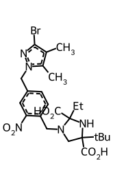 CCC1(C(=O)O)NC(C(=O)O)(C(C)(C)C)CN1Cc1ccc(Cn2nc(Br)c(C)c2C)cc1[N+](=O)[O-]